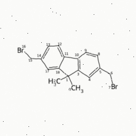 CC1(C)c2cc(CBr)ccc2-c2ccc(CBr)cc21